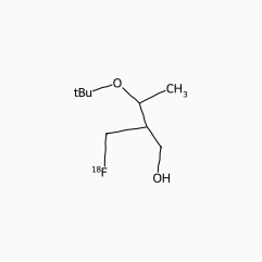 CC(OC(C)(C)C)C(CO)C[18F]